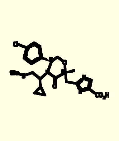 CC(C)(C)SCC(C1CC1)N1C(=O)[C@@](C)(Cc2ncc(C(=O)O)s2)OC[C@H]1c1ccc(Cl)cc1